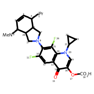 CNC1C=CC(C(C)C)C2CN(c3c(F)cc4c(=O)c(OC(=O)O)cn(C5CC5)c4c3F)CC12